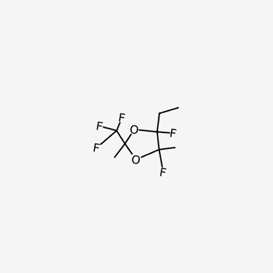 CCC1(F)OC(C)(C(F)(F)F)OC1(C)F